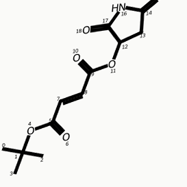 CC(C)(C)OC(=O)/C=C/C(=O)OC1CC(=O)NC1=O